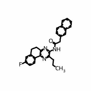 CCCc1nc2c(nc1NC(=O)Cc1ccc3ccccc3c1)CCc1cc(F)ccc1-2